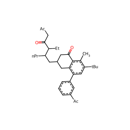 CCCC(CC1CC(=O)c2c(C)c(C(C)(C)C)cc(-c3cccc(C(C)=O)c3)c2C1)C(CC)C(=O)CC(C)=O